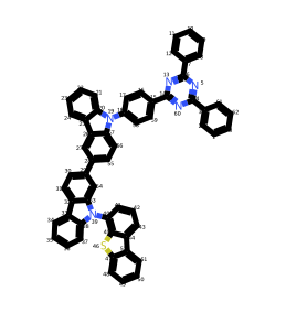 c1ccc(-c2nc(-c3ccccc3)nc(-c3ccc(-n4c5ccccc5c5cc(-c6ccc7c8ccccc8n(-c8cccc9c8sc8ccccc89)c7c6)ccc54)cc3)n2)cc1